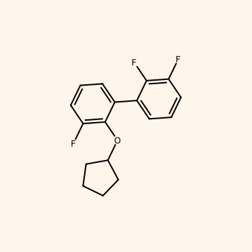 Fc1cccc(-c2cccc(F)c2OC2CCCC2)c1F